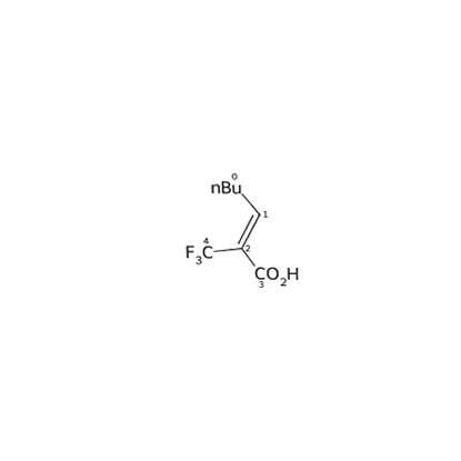 CCCCC=C(C(=O)O)C(F)(F)F